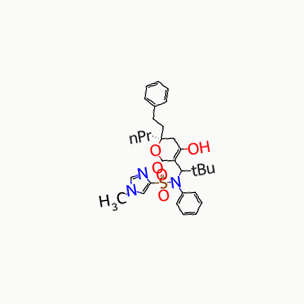 CCC[C@]1(CCc2ccccc2)CC(O)=C(C(N(c2ccccc2)S(=O)(=O)c2cn(C)cn2)C(C)(C)C)C(=O)O1